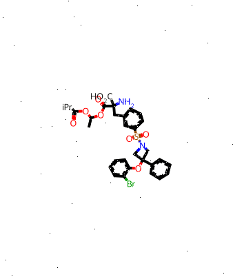 CC(OC(=O)C(C)C)OC(=O)C(N)(Cc1cccc(S(=O)(=O)N2CC(Oc3ccccc3Br)(c3ccccc3)C2)c1)C(=O)O